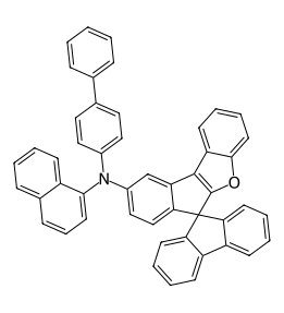 c1ccc(-c2ccc(N(c3ccc4c(c3)-c3c(oc5ccccc35)C43c4ccccc4-c4ccccc43)c3cccc4ccccc34)cc2)cc1